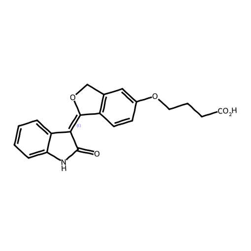 O=C(O)CCCOc1ccc2c(c1)CO/C2=C1/C(=O)Nc2ccccc21